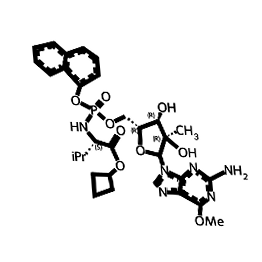 COc1nc(N)nc2c1ncn2C1O[C@H](COP(=O)(N[C@H](C(=O)OC2CCC2)C(C)C)Oc2cccc3ccccc23)[C@@H](O)[C@@]1(C)O